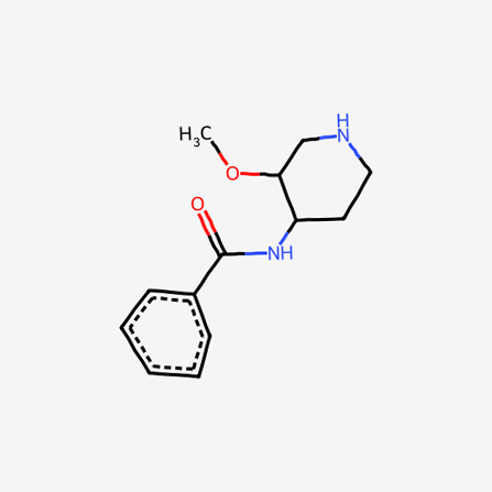 COC1CNCCC1NC(=O)c1ccccc1